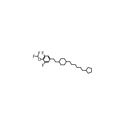 Fc1cc(CCC2CCC(CCCCCCC3CCCC3)CC2)cc(F)c1OC(F)F